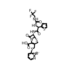 O=C(NCC(F)(F)F)NC(C(=O)N[C@H]1C(=O)N2C(C(=O)O)=C(CSc3cccn[n+]3[O-])CSC12)c1cccs1